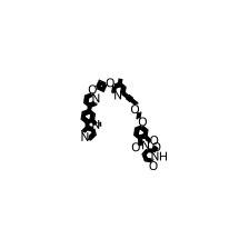 Cc1cc(C#CCOCCOc2ccc3c(c2)C(=O)N(C2CCC(=O)NC2=O)C3=O)ncc1OC1CC(Oc2ccc(-c3ccc4c5cnccc5n(C)c4c3)cn2)C1